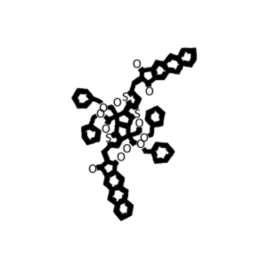 O=C1C(=Cc2cc3c(s2)C2=C(c4sc5cc(C=C6C(=O)c7cc8cc9ccccc9cc8cc7C6=O)sc5c4C2(C(=O)OCc2ccccc2)C(=O)OCc2ccccc2)C3(C(=O)OCc2ccccc2)C(=O)OCc2ccccc2)C(=O)c2cc3cc4ccccc4cc3cc21